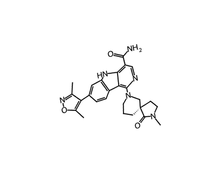 Cc1noc(C)c1-c1ccc2c(c1)[nH]c1c(C(N)=O)cnc(N3CCC[C@@]4(CCN(C)C4=O)C3)c12